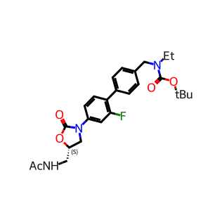 CCN(Cc1ccc(-c2ccc(N3C[C@H](CNC(C)=O)OC3=O)cc2F)cc1)C(=O)OC(C)(C)C